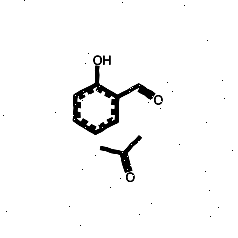 CC(C)=O.O=Cc1ccccc1O